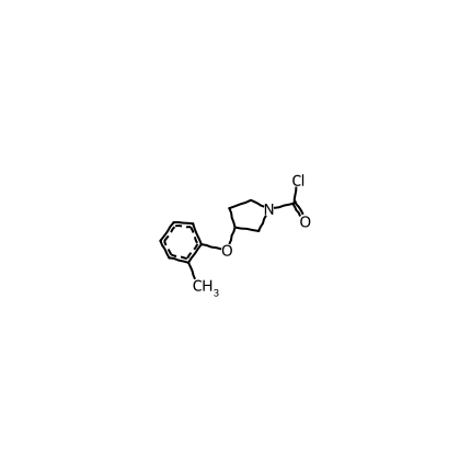 Cc1ccccc1OC1CCN(C(=O)Cl)C1